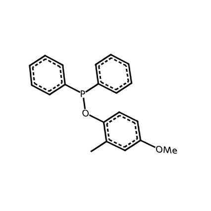 COc1ccc(OP(c2ccccc2)c2ccccc2)c(C)c1